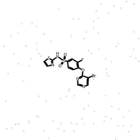 O=S(=O)(Nc1nccs1)c1ccc(Oc2ncncc2Br)c(F)c1